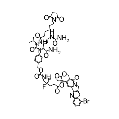 CC[C@@]1(OC(=O)CCC(F)(F)CNC(=O)OCc2ccc(N(C(=O)[C@@H](NC(=O)CCCCCN3C(=O)CCC3=O)C(C)C)[C@@H](CCCNC(N)=O)C(N)=O)cc2)C(=O)OCc2c1cc1n(c2=O)Cc2cc3c(Br)cccc3nc2-1